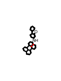 C1=CC2C=CC=C(c3ccc(Nc4ccc5c(c4)oc4ccccc45)cc3)C2C(c2ccccc2)=C1